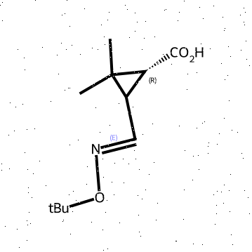 CC(C)(C)O/N=C/C1[C@@H](C(=O)O)C1(C)C